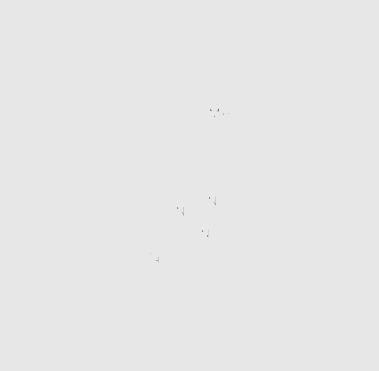 COC(=O)c1ccc(Nc2ncc(Br)cn2)cc1